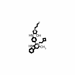 C[C@@H]1Cc2c([nH]c3ccccc23)[C@@H](c2ccc(N[C@H]3CN(CCCF)C[C@@H]3O)cc2)N1CCC1CCC1